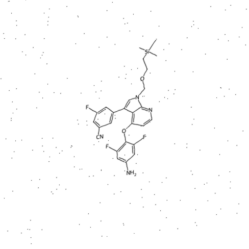 C[Si](C)(C)CCOCn1cc(-c2cc(F)cc(C#N)c2)c2c(Oc3c(F)cc(N)cc3F)ccnc21